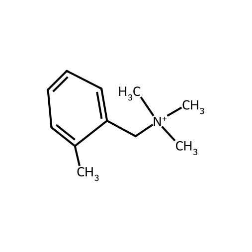 Cc1ccccc1C[N+](C)(C)C